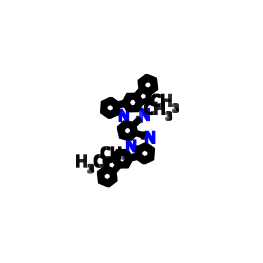 CC1(C)c2ccccc2-c2cc3c4ccccc4n(-c4ccc(-n5c6ccccc6c6cc7c(cc65)C(C)(C)c5ccccc5-7)c(C#N)c4C#N)c3cc21